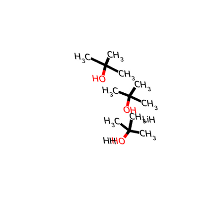 CC(C)(C)O.CC(C)(C)O.CC(C)(C)O.[HH].[LiH]